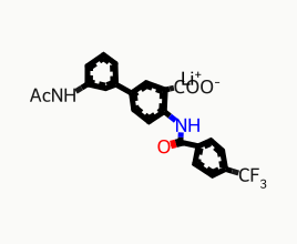 CC(=O)Nc1cccc(-c2ccc(NC(=O)c3ccc(C(F)(F)F)cc3)c(C(=O)[O-])c2)c1.[Li+]